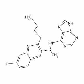 CCCCc1nc2cc(F)ccc2cc1C(C)Nc1ncnc2[nH]cnc12